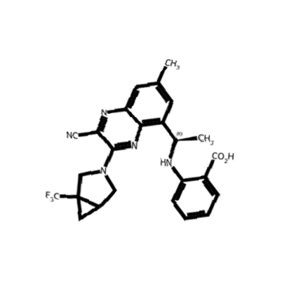 Cc1cc([C@@H](C)Nc2ccccc2C(=O)O)c2nc(N3CC4CC4(C(F)(F)F)C3)c(C#N)nc2c1